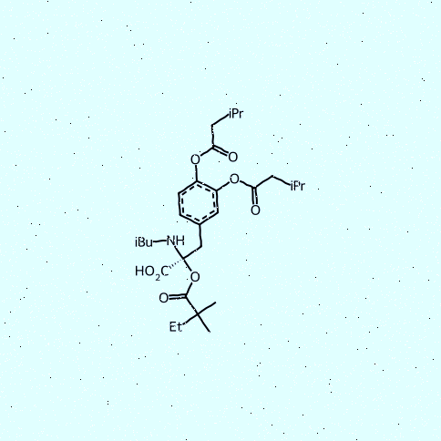 CCC(C)N[C@@](Cc1ccc(OC(=O)CC(C)C)c(OC(=O)CC(C)C)c1)(OC(=O)C(C)(C)CC)C(=O)O